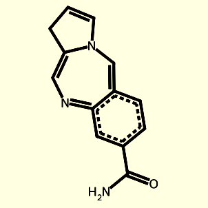 NC(=O)c1ccc2c(c1)=NC=C1CC=CN1C=2